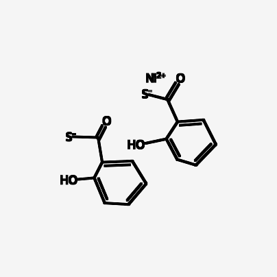 O=C([S-])c1ccccc1O.O=C([S-])c1ccccc1O.[Ni+2]